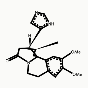 COc1cc2c(cc1OC)[C@@]13C[C@H](C)[C@@H](c4cnc[nH]4)[C@@H]1CC(=O)N3CC2